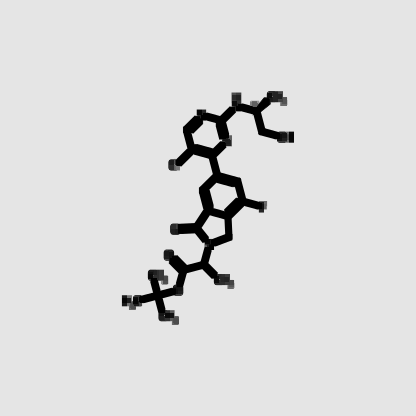 CC(C(=O)OC(C)(C)C)N1Cc2c(F)cc(-c3nc(N[C@@H](C)CO)ncc3Cl)cc2C1=O